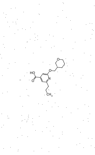 CCCc1cc(C(=O)O)cc(OCC2CCCOC2)n1